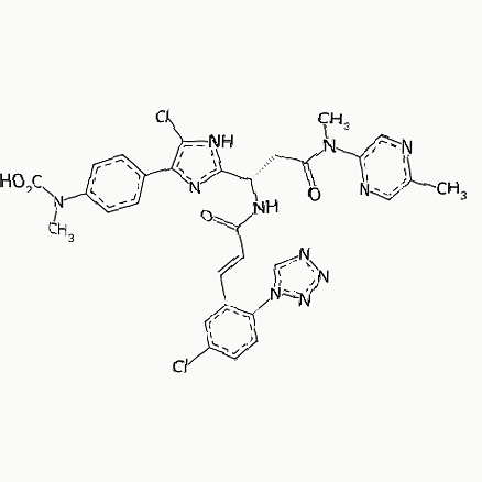 Cc1cnc(N(C)C(=O)C[C@H](NC(=O)/C=C/c2cc(Cl)ccc2-n2cnnn2)c2nc(-c3ccc(N(C)C(=O)O)cc3)c(Cl)[nH]2)cn1